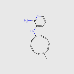 Cc1ccccc(Nc2cccnc2N)cccc1